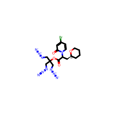 [N-]=[N+]=NCC(CN=[N+]=[N-])(CN=[N+]=[N-])OC(=O)C(C[C@@H]1CCCCO1)n1ccc(Br)cc1=O